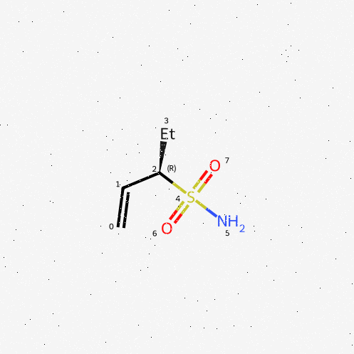 C=C[C@@H](CC)S(N)(=O)=O